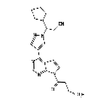 N#CCC(C1CCCC1)n1cc(-c2ncnc3c2ccn3C(=O)CCC(=O)O)cn1